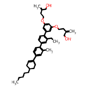 C=C(CO)CCOc1cc(OCCC(=C)CO)cc(-c2ccc(-c3ccc(C4=CCC(CCCCC)CC4)cc3C)cc2CC)c1